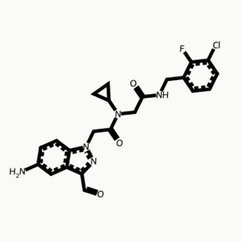 Nc1ccc2c(c1)c(C=O)nn2CC(=O)N(CC(=O)NCc1cccc(Cl)c1F)C1CC1